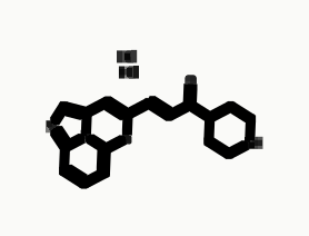 Cl.Cl.O=C(C=CC1=Cc2cnc3cccc(n23)S1)C1CCNCC1